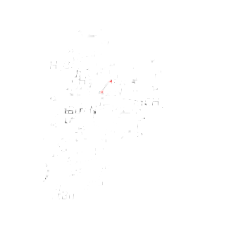 CC(C)(C)c1ccc2c(c1)C1(c3ccccc3-c3ccc(N(c4ccc5c(c4)C(C)(c4ccccc4)c4ccccc4-5)c4ccccc4-c4cccc5c4C(C)(C)c4ccccc4-5)cc31)c1cc(C(C)(C)C)ccc1-2